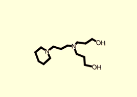 OCCCN(CCCO)CCCN1CCCCC1